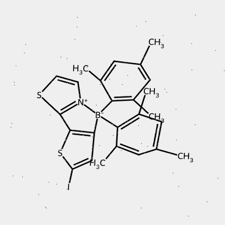 Cc1cc(C)c([B-]2(c3c(C)cc(C)cc3C)c3cc(I)sc3-c3scc[n+]32)c(C)c1